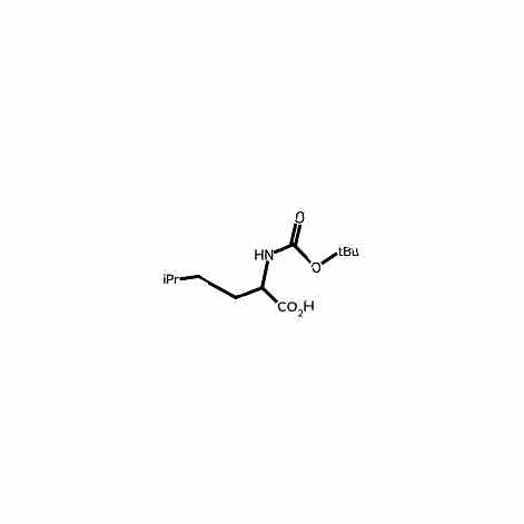 CC(C)CCC(NC(=O)OC(C)(C)C)C(=O)O